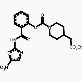 CCOC(=O)CC1CCN(C(=O)Oc2ccccc2C(=O)Nc2ncc([N+](=O)[O-])s2)CC1